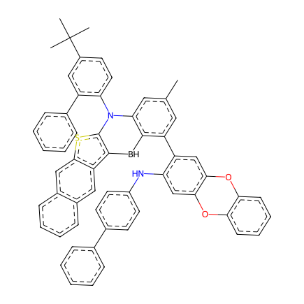 Cc1cc(-c2cc3c(cc2Nc2ccc(-c4ccccc4)cc2)Oc2ccccc2O3)c2c(c1)N(c1ccc(C(C)(C)C)cc1-c1ccccc1)c1sc3cc4ccccc4cc3c1B2